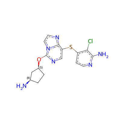 Nc1nccc(Sc2cnc(O[C@H]3CC[C@@H](N)C3)n3ccnc23)c1Cl